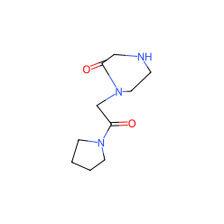 O=C(CN1CCNCC1=O)N1CCCC1